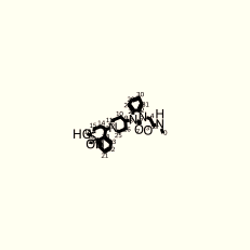 CNC(=O)Cn1c(=O)n(C2CCN(C3CCS(O)(O)c4ccccc43)CC2)c2ccccc21